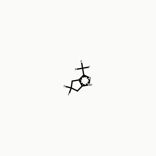 FC1(F)Cc2[nH]nc(C(F)(F)F)c2C1